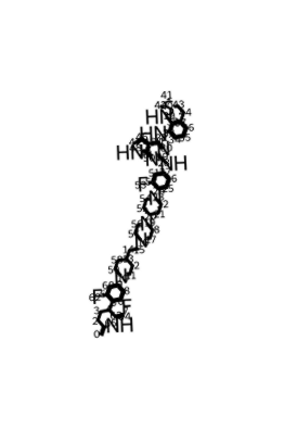 C=C1CCC(c2c(F)cc(N3CCC(CCN4CCN(C5CCN(c6ccc(Nc7nc(Nc8cccc9c8NS(C)(C)CC9)c8cc[nH]c8n7)cc6F)CC5)CC4)CC3)cc2F)C(=C)N1